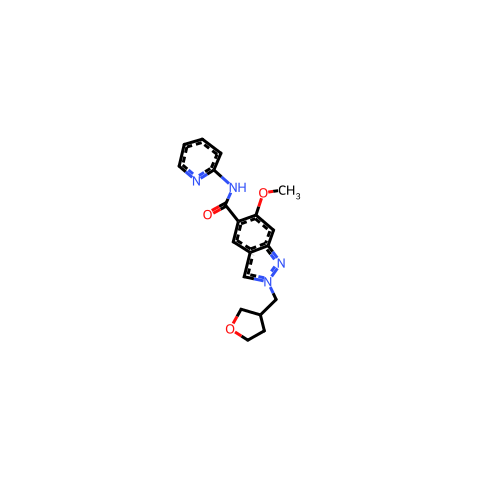 COc1cc2nn(CC3CCOC3)cc2cc1C(=O)Nc1ccccn1